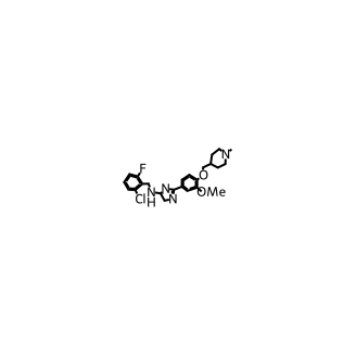 COc1cc(C2=NCC(NCc3c(F)cccc3Cl)=N2)ccc1OCC1CCN(C)CC1